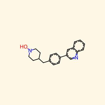 ON1CCC(Cc2ccc(-c3cnc4ccccc4c3)cc2)CC1